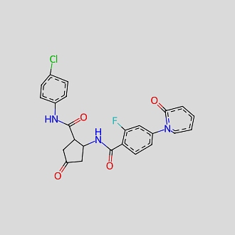 O=C1CC(NC(=O)c2ccc(-n3ccccc3=O)cc2F)C(C(=O)Nc2ccc(Cl)cc2)C1